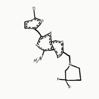 Nc1nc(-c2ccc(Cl)o2)nc2sc(CN3CCC(F)(F)C3)cc12